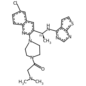 C[C@H](Nc1ncnc2sccc12)c1cc2cc(Cl)ccc2nc1N1CCN(C(=O)CN(C)C)CC1